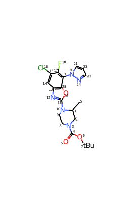 CC1CN(C(=O)OC(C)(C)C)CCN1c1nc2cc(Cl)c(F)c(-n3cccn3)c2o1